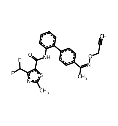 C#CCO/N=C(/C)c1ccc(-c2ccccc2NC(=O)c2sc(C)nc2C(F)F)cc1